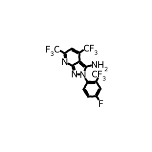 Nc1c2c(C(F)(F)F)cc(C(F)(F)F)nc2nn1-c1ccc(F)cc1C(F)(F)F